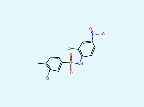 Cc1c[c]c(S(=O)(=O)Nc2ccc([N+](=O)[O-])cc2Cl)cc1Cl